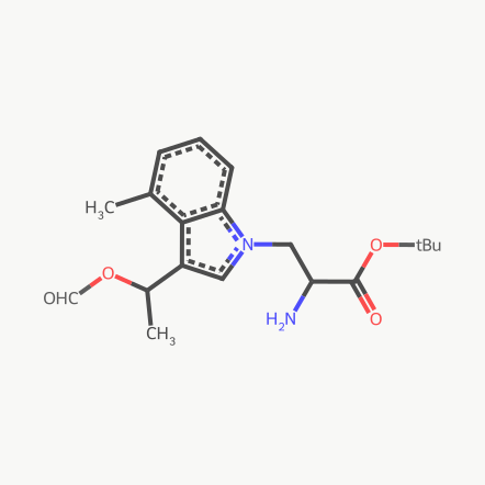 Cc1cccc2c1c(C(C)OC=O)cn2CC(N)C(=O)OC(C)(C)C